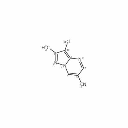 Cc1nn2cc(C#N)cnc2c1Cl